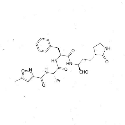 Cc1cc(C(=O)N[C@H](C(=O)N[C@@H](Cc2ccccc2)C(=O)N[C@H](C=O)CC[C@@H]2CCNC2=O)C(C)C)no1